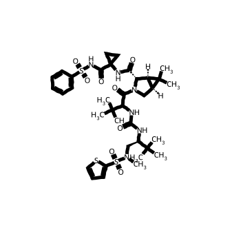 CN(C[C@@H](NC(=O)NC(C(=O)N1C[C@H]2[C@@H]([C@H]1C(=O)NC1(C(=O)NS(=O)(=O)c3ccccc3)CC1)C2(C)C)C(C)(C)C)C(C)(C)C)S(=O)(=O)c1cccs1